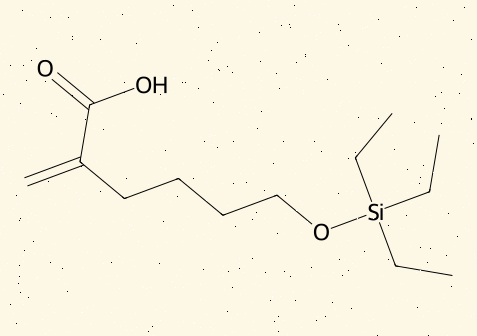 C=C(CCCCO[Si](CC)(CC)CC)C(=O)O